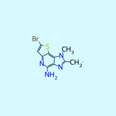 [CH2]c1nc2c(N)nc3cc(Br)sc3c2n1C